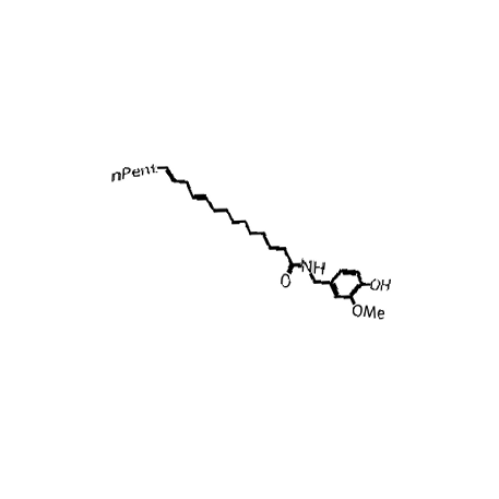 CCCCCC=CCC=CCCCCCCCCC(=O)NCc1ccc(O)c(OC)c1